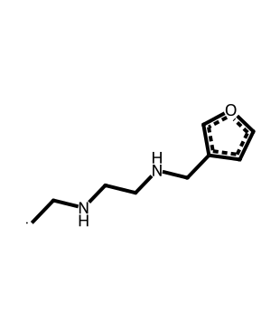 [CH2]CNCCNCc1ccoc1